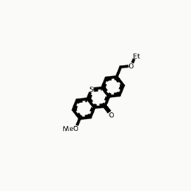 CCOCc1ccc2c(=O)c3cc(OC)ccc3sc2c1